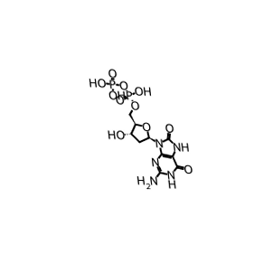 Nc1nc2c([nH]c(=O)n2[C@H]2C[C@H](O)[C@@H](COP(=O)(O)OP(=O)(O)O)O2)c(=O)[nH]1